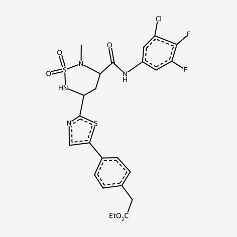 CCOC(=O)Cc1ccc(-c2cnc(C3CC(C(=O)Nc4cc(F)c(F)c(Cl)c4)N(C)S(=O)(=O)N3)s2)cc1